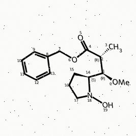 CO[C@H]([C@@H](C)C(=O)OCc1ccccc1)[C@@H]1CCCN1O